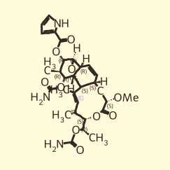 CO[C@H]1C[C@H]2C=C[C@H]3[C@H]4O[C@]2(/C(C)=C/[C@@H](C)[C@@H]([C@@H](C)OC(N)=O)OC1=O)[C@@H]3[C@H](OC(N)=O)[C@@H](C)[C@H]4OC(=O)c1ccc[nH]1